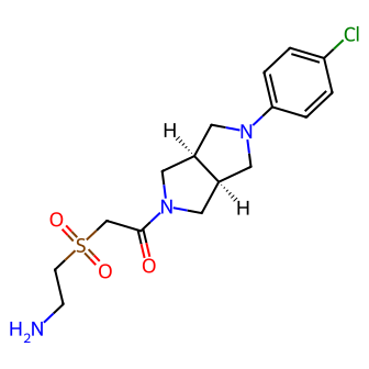 NCCS(=O)(=O)CC(=O)N1C[C@@H]2CN(c3ccc(Cl)cc3)C[C@@H]2C1